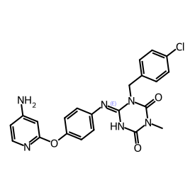 Cn1c(=O)[nH]/c(=N\c2ccc(Oc3cc(N)ccn3)cc2)n(Cc2ccc(Cl)cc2)c1=O